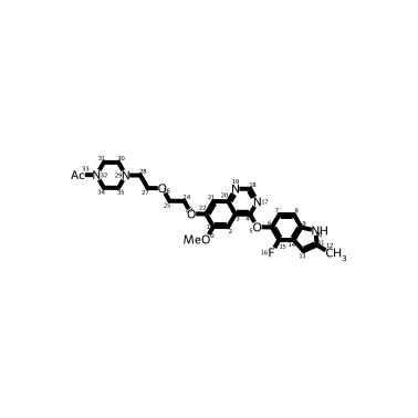 COc1cc2c(Oc3ccc4[nH]c(C)cc4c3F)ncnc2cc1OCCOCCN1CCN(C(C)=O)CC1